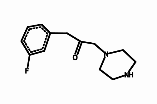 O=C(Cc1cccc(F)c1)CN1CCNCC1